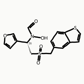 O=CN(O)[C@H](CS(=O)(=O)Cc1ccc2sccc2c1)c1ccoc1